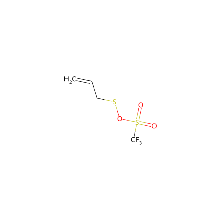 C=CCSOS(=O)(=O)C(F)(F)F